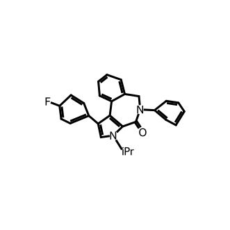 CC(C)n1cc(-c2ccc(F)cc2)c2c1C(=O)N(c1ccccc1)Cc1ccccc1-2